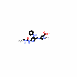 CCNC(=O)Nc1cc(Nc2ccccc2)c(CNc2cc(C(=O)O)n(C)c2)cn1